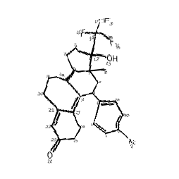 CC(=O)c1ccc(C2CC3(C)C(CCC3(O)C(F)(F)C(F)(F)F)C3CCC4=CC(=O)CCC4=C23)cc1